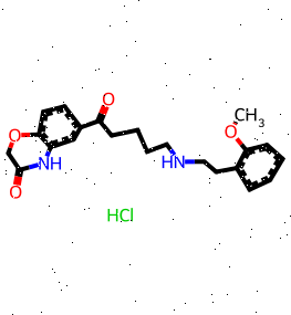 COc1ccccc1CCNCCCCC(=O)c1ccc2c(c1)NC(=O)CO2.Cl